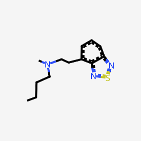 CCCCN(C)CCc1cccc2nsnc12